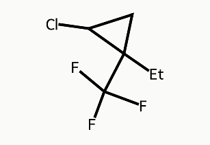 CCC1(C(F)(F)F)CC1Cl